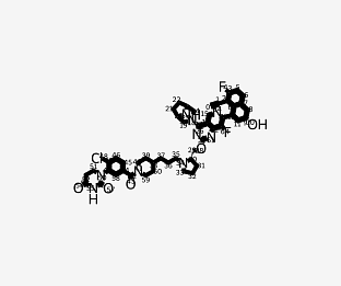 C#Cc1c(F)ccc2cc(O)cc(-c3ncc4c(N5CC6CCC(C5)N6)nc(OC[C@@H]5CCCN5CCCC5CCN(C(=O)c6ccc(Cl)c(N7CCC(=O)NC7=O)c6)CC5)nc4c3F)c12